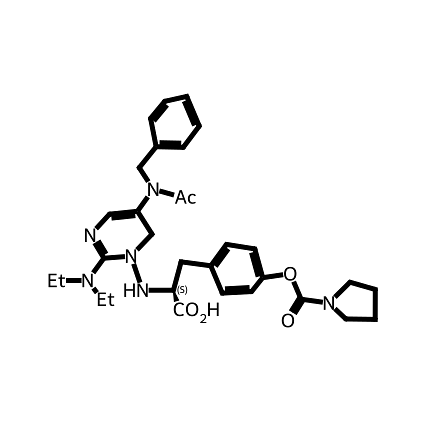 CCN(CC)C1=NC=C(N(Cc2ccccc2)C(C)=O)CN1N[C@@H](Cc1ccc(OC(=O)N2CCCC2)cc1)C(=O)O